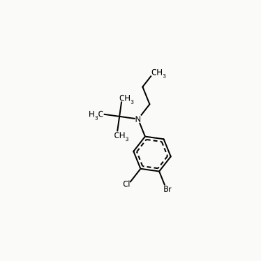 CCCN(c1ccc(Br)c(Cl)c1)C(C)(C)C